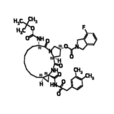 Cc1ccc(CS(=O)(=O)NC(=O)[C@@]23C[C@H]2CCCCCCC[C@H](NC(=O)OC(C)(C)C)C(=O)N2C[C@H](OC(=O)N4Cc5cccc(F)c5C4)C[C@H]2C(=O)N3)cc1C